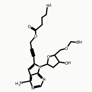 CC(C)(C)COCC1OC(n2c(C#CCOC(=O)CCCS)cc3c(N)ncnc32)CC1O